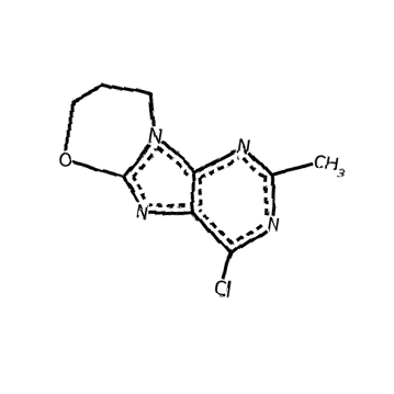 Cc1nc(Cl)c2nc3n(c2n1)CCCO3